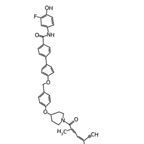 C#C/C(O)=C\C=C(/C)C(=O)N1CCC(Oc2ccc(COc3ccc(-c4ccc(C(=O)Nc5ccc(O)c(F)c5)cc4)cc3)cc2)CC1